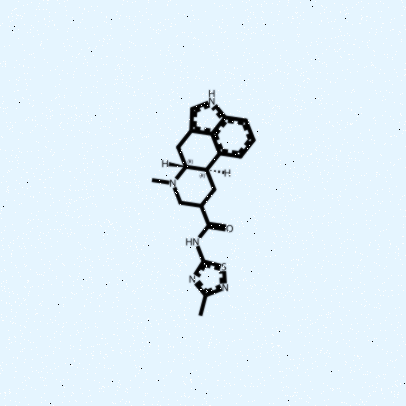 Cc1nsc(NC(=O)C2C[C@@H]3c4cccc5[nH]cc(c45)C[C@H]3N(C)C2)n1